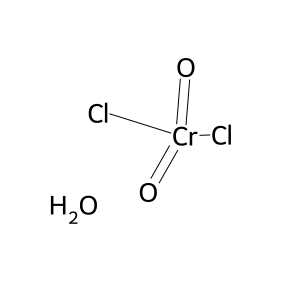 O.[O]=[Cr](=[O])([Cl])[Cl]